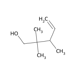 C=CC(C)C(C)(C)CO